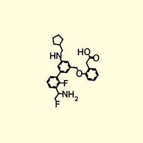 NC(CF)c1cccc(-c2cc(COc3ccccc3CC(=O)O)cc(NCC3CCCC3)c2)c1F